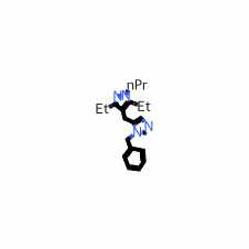 CCCn1nc(CC)c(Cc2cncn2Cc2ccccc2)c1CC